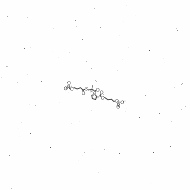 C[C@H](CSC(=O)CCCO[N+](=O)[O-])C(=O)N1CCC[C@H]1C(=O)OCCCCO[N+](=O)[O-]